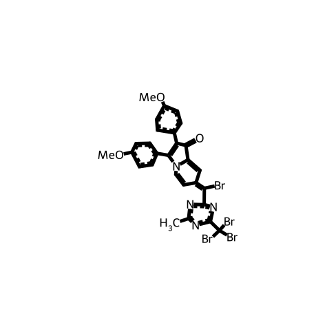 COc1ccc(C2=C(c3ccc(OC)cc3)N3C=CC(=C(Br)c4nc(C)nc(C(Br)(Br)Br)n4)C=C3C2=O)cc1